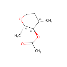 CC(=O)O[C@H]1[C@H](C)OCC[C@@H]1C